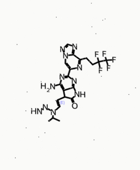 CC(C)N(/C=C/C1C(=O)Nc2nc(-c3cn4ncnc4c(CCC(F)(F)C(F)(F)F)n3)nc(N)c21)N=N